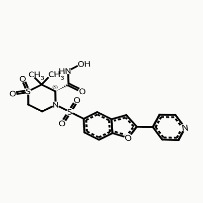 CC1(C)[C@H](C(=O)NO)N(S(=O)(=O)c2ccc3oc(-c4ccncc4)cc3c2)CCS1(=O)=O